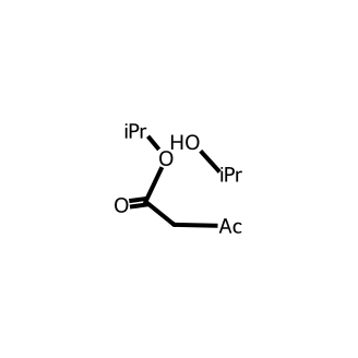 CC(=O)CC(=O)OC(C)C.CC(C)O